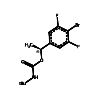 C[C@H](OC(=O)NC(C)(C)C)c1cc(F)c(Br)c(F)c1